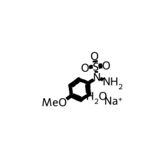 COc1ccc(N(N)S(=O)(=O)[O-])cc1.O.[Na+]